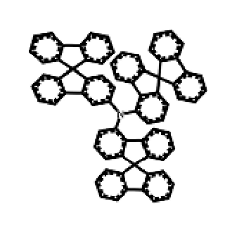 c1ccc2c(c1)-c1ccccc1C21c2ccccc2-c2cc(N(c3cccc4c3-c3ccccc3C43c4ccccc4-c4ccccc43)c3cccc4c3-c3ccccc3C43c4ccccc4-c4ccccc43)ccc21